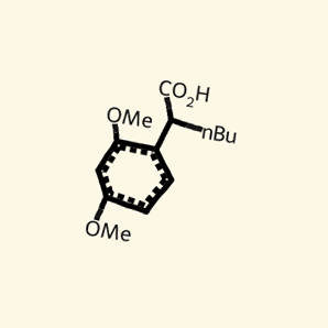 CCCCC(C(=O)O)c1ccc(OC)cc1OC